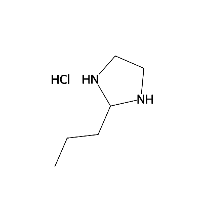 CCCC1NCCN1.Cl